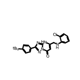 CC(C)(C)c1ccc(-c2nc3[nH]c(CNc4ccccc4Cl)cc(=O)n3n2)cc1